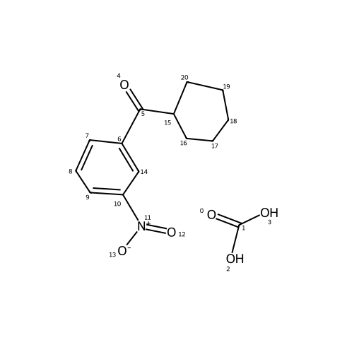 O=C(O)O.O=C(c1cccc([N+](=O)[O-])c1)C1CCCCC1